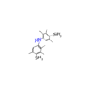 Cc1cc(Nc2cc(C)c([SiH3])c(C)c2C)c(C)c(C)c1[SiH3]